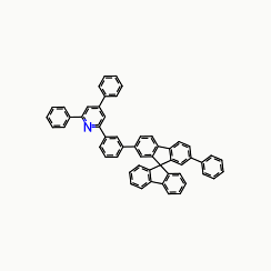 c1ccc(-c2cc(-c3ccccc3)nc(-c3cccc(-c4ccc5c(c4)C4(c6ccccc6-c6ccccc64)c4cc(-c6ccccc6)ccc4-5)c3)c2)cc1